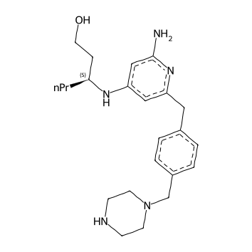 CCC[C@@H](CCO)Nc1cc(N)nc(Cc2ccc(CN3CCNCC3)cc2)c1